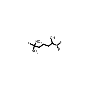 O=[N+]([O-])C(F)(CCCC(O)N(F)F)[N+](=O)[O-]